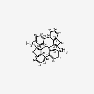 CC1=C(CCC2=C(C)[CH]c3cccc(-c4ccccc4)c32)c2c(cccc2-c2ccccc2)[CH]1